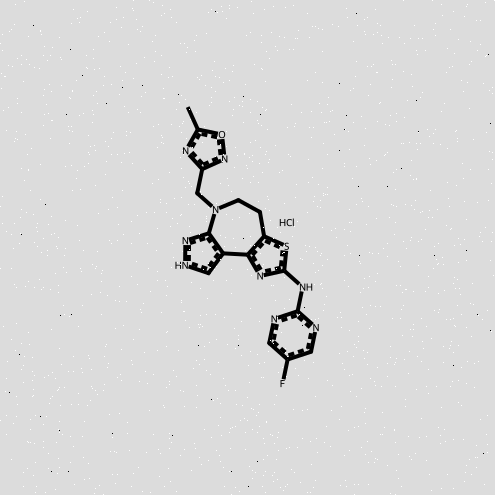 Cc1nc(CN2CCc3sc(Nc4ncc(F)cn4)nc3-c3c[nH]nc32)no1.Cl